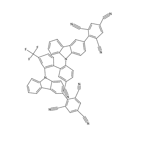 N#Cc1cc(C#N)c(-c2ccc3c(c2)c2ccccc2n3-c2ccc(C#N)cc2-c2ccc(C(F)(F)F)cc2-n2c3ccccc3c3cc(-c4c(C#N)cc(C#N)cc4C#N)ccc32)c(C#N)c1